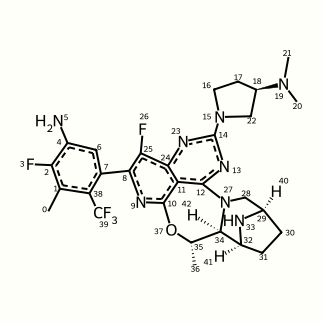 Cc1c(F)c(N)cc(-c2nc3c4c(nc(N5CC[C@@H](N(C)C)C5)nc4c2F)N2C[C@H]4CC[C@H](N4)[C@H]2[C@H](C)O3)c1C(F)(F)F